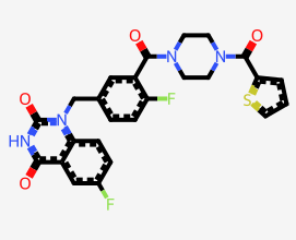 O=C(c1cccs1)N1CCN(C(=O)c2cc(Cn3c(=O)[nH]c(=O)c4cc(F)ccc43)ccc2F)CC1